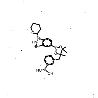 CC1(C)OB(c2ccc3c(c2)NNN3C2CCCCO2)OC1(C)Cc1cccc(B(O)O)c1